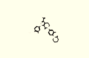 COc1ccc(-n2nc(C(N)=O)c3c2C(=O)N(c2ccc(N4CCCCC4=O)c(C)c2)CC3)cc1F